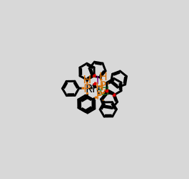 [CH3][Rh]([CH3])([Cl])([I])([PH](c1ccccc1)(c1ccccc1)c1ccccc1)([PH](c1ccccc1)(c1ccccc1)c1ccccc1)[PH](c1ccccc1)(c1ccccc1)c1ccccc1